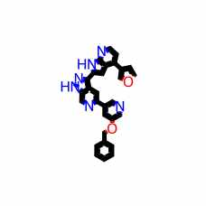 c1ccc(COc2cncc(-c3cc4c(-c5cc6c(-c7ccoc7)ccnc6[nH]5)n[nH]c4cn3)c2)cc1